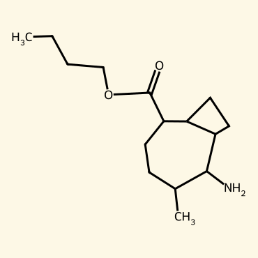 CCCCOC(=O)C1CCC(C)C(N)C2CCC12